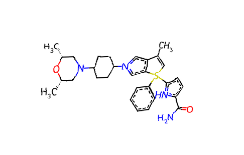 CC1=CS(c2ccccc2)(c2ccc(C(N)=O)[nH]2)c2cn(C3CCC(N4C[C@@H](C)O[C@@H](C)C4)CC3)cc21